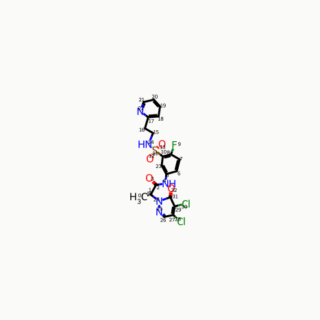 C[C@H](C(=O)Nc1ccc(F)c(S(=O)(=O)NCCc2ccccn2)c1)n1ncc(Cl)c(Cl)c1=O